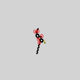 CCCCCCCCOc1cc(SC)cc2c(=O)c3cc(C(=O)OCC)ccc3oc12